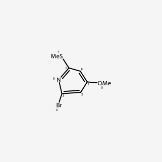 COc1cc(Br)nc(SC)c1